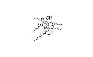 CCCCOCC1O[C@@H](O[C@H]2C(OCCCC)C=COC2COCCCC)C(OCCCC)C(OCCCC)[C@H]1O